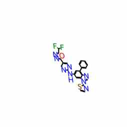 FC(F)c1nnc(-c2cnc(Nc3cc(-c4ccccc4)c4ncn(-c5nccs5)c4c3)nc2)o1